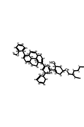 CCCCC(CC)COC1CC=C(C2=NC(C3=CCC4C=CC5C(c6ccccc6OC)=CC=C6CCC3=C4C65)=CC(C3C=CC=CC3)N2)C(O)C1